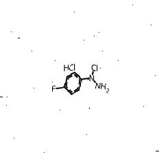 Cl.NN(Cl)c1ccc(F)cc1